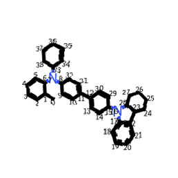 CC1C=CC=CC1N(C1C=CC(C2=CCC(N3c4ccccc4C4CCCCC43)C=C2)=CC1)C1C=CCCC1